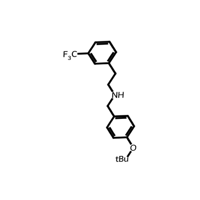 CC(C)(C)Oc1ccc(CNCCc2cccc(C(F)(F)F)c2)cc1